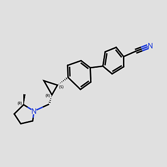 C[C@@H]1CCCN1C[C@@H]1C[C@@H]1c1ccc(-c2ccc(C#N)cc2)cc1